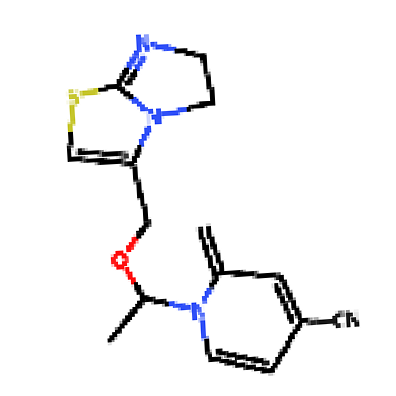 C=C1C=C(C#N)C=CN1C(C)OCC1=CSC2=NCCN12